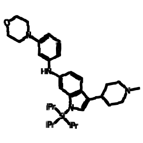 CC(C)[Si](C(C)C)(C(C)C)n1cc(C2CCN(C)CC2)c2ccc(Nc3cccc(N4CCOCC4)c3)cc21